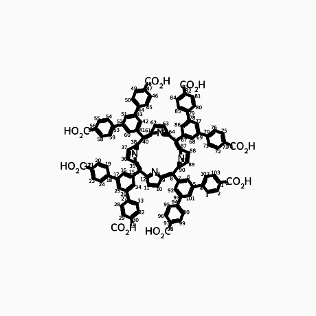 O=C(O)c1ccc(-c2cc(C3=C4C=CC(=N4)C(c4cc(-c5ccc(C(=O)O)cc5)cc(-c5ccc(C(=O)O)cc5)c4)=C4C=CC(=N4)C(c4cc(-c5ccc(C(=O)O)cc5)cc(-c5ccc(C(=O)O)cc5)c4)=C4C=CC(=N4)C(c4cc(-c5ccc(C(=O)O)cc5)cc(-c5ccc(C(=O)O)cc5)c4)=C4C=CC3=N4)cc(-c3ccc(C(=O)O)cc3)c2)cc1